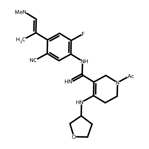 CN/C=C(\C)c1cc(F)c(NC(=N)C2=C(NC3CCOC3)CCN(C(C)=O)C2)cc1C#N